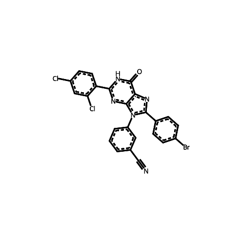 N#Cc1cccc(-n2c(-c3ccc(Br)cc3)nc3c(=O)[nH]c(-c4ccc(Cl)cc4Cl)nc32)c1